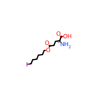 N[C@@H](CCC(=O)OCCCCCCI)C(=O)O